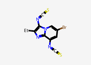 CCc1nc2c(N=C=S)cc(Br)cn2c1N=C=S